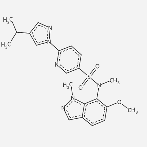 COc1ccc2cnn(C)c2c1N(C)S(=O)(=O)c1ccc(-n2cc(C(C)C)cn2)nc1